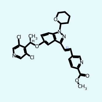 COC(=O)c1ccc(/C=C/c2nn(C3CCCCO3)c3ccc(O[C@H](C)c4c(Cl)cncc4Cl)cc23)cn1